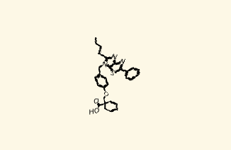 CCCCc1nc2nc(-c3ccccc3)sc2n1Cc1ccc(OCC2(C(=O)O)C=CC=CC2)cc1